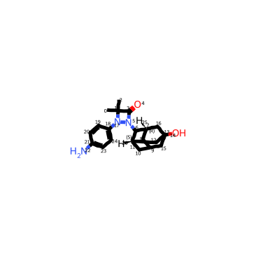 CC1(C)C(=O)N(C2[C@@H]3CC4C[C@H]2CC(O)(C4)C3)N1c1ccc(N)cc1